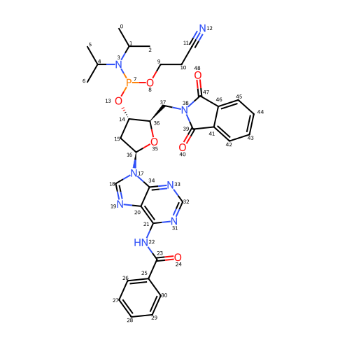 CC(C)N(C(C)C)P(OCCC#N)O[C@H]1C[C@H](n2cnc3c(NC(=O)c4ccccc4)ncnc32)O[C@@H]1CN1C(=O)c2ccccc2C1=O